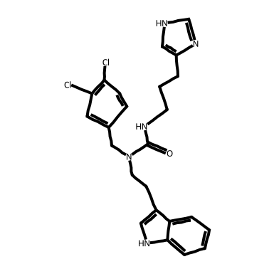 O=C(NCCCc1c[nH]cn1)N(CCc1c[nH]c2ccccc12)Cc1ccc(Cl)c(Cl)c1